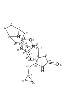 Cc1noc(N2C3CCC2CC(N2CCC4(CC2)CC(=O)NC4CC2CC2)C3)n1